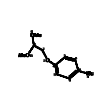 COC(COc1ccc(C(C)(C)C)cc1)OC